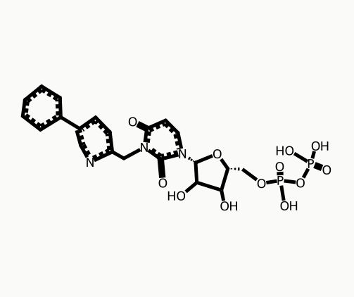 O=c1ccn([C@@H]2O[C@H](COP(=O)(O)OP(=O)(O)O)C(O)C2O)c(=O)n1Cc1ccc(-c2ccccc2)cn1